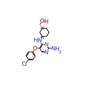 Nc1ncc(Oc2ccc(Cl)cc2)c(N[C@@H]2CCC[C@@H](CO)C2)n1